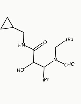 CC(C)C(C(O)C(=O)NCC1CC1)N(C=O)CC(C)(C)C